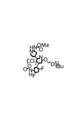 COC(=O)Nc1cc(-c2cc(-c3cc(NC(=O)OCC(Cl)(Cl)Cl)c(F)cc3F)cc(OCCO[Si](C)(C)C(C)(C)C)n2)ccn1